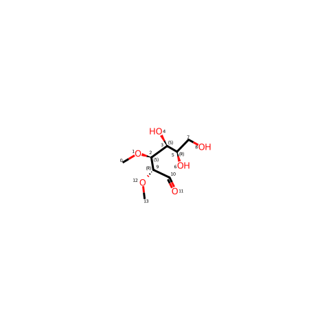 CO[C@@H]([C@@H](O)[C@H](O)CO)[C@H](C=O)OC